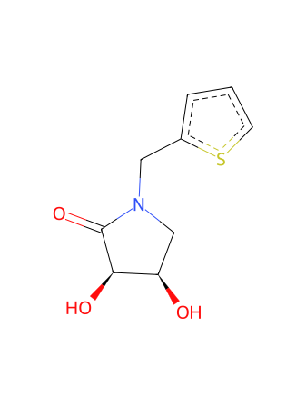 O=C1[C@H](O)[C@H](O)CN1Cc1cccs1